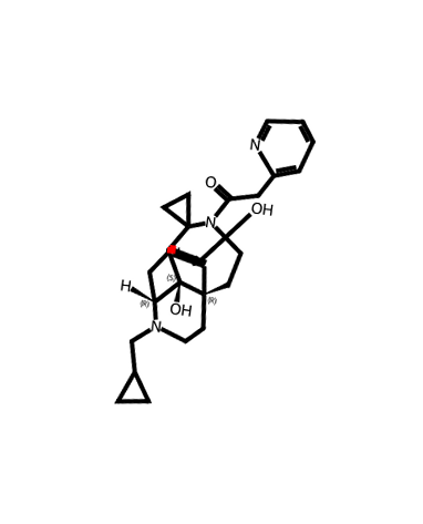 O=C(Cc1ccccn1)N1CC[C@]23CCN(CC4CC4)[C@H](Cc4ccc(O)cc42)[C@]3(O)CC12CC2